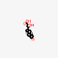 C[C@]12CC[C@H]3[C@@H](CCC4=CC(=O)C=C[C@@]43C)[C@@H]1CC[C@@H]2[C@H](CO)CCC(=O)O